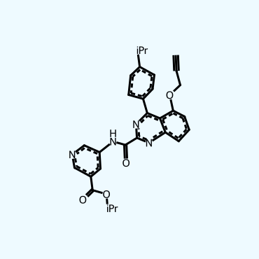 C#CCOc1cccc2nc(C(=O)Nc3cncc(C(=O)OC(C)C)c3)nc(-c3ccc(C(C)C)cc3)c12